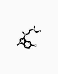 CN(C=O)CCN(C)c1cn(C)c2ccc(Cl)cc12